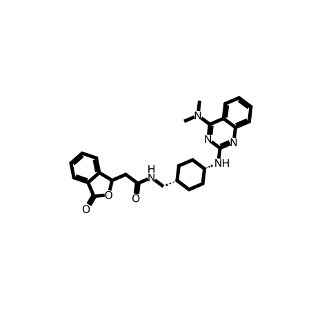 CN(C)c1nc(N[C@H]2CC[C@@H](CNC(=O)CC3OC(=O)c4ccccc43)CC2)nc2ccccc12